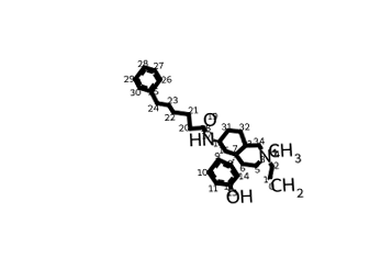 C=CC[N@@+]1(C)CC[C@@]2(c3cccc(O)c3)C[C@@H](NC(=O)CCCCCc3ccccc3)CCC2C1